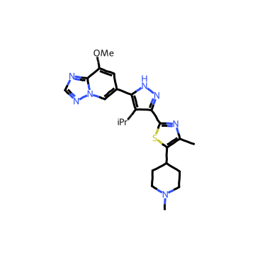 COc1cc(-c2[nH]nc(-c3nc(C)c(C4CCN(C)CC4)s3)c2C(C)C)cn2ncnc12